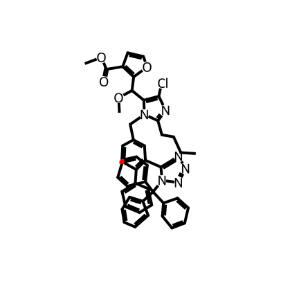 CCCCc1nc(Cl)c(C(OC)c2occc2C(=O)OC)n1Cc1ccc(-c2ccccc2)c(-c2nnnn2C(c2ccccc2)(c2ccccc2)c2ccccc2)c1